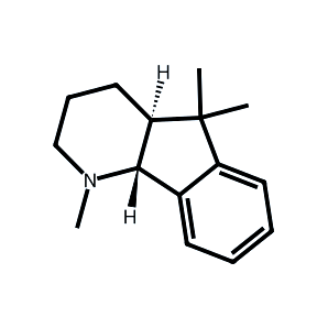 CN1CCC[C@@H]2[C@@H]1c1ccccc1C2(C)C